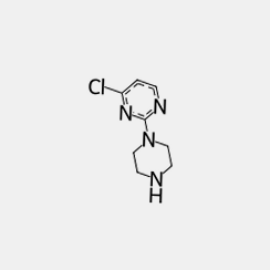 Clc1ccnc(N2CCNCC2)n1